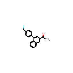 CC(=O)c1cc(-c2ccc(CF)cc2)c2ccccc2c1